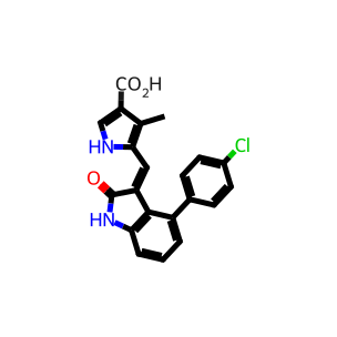 Cc1c(C(=O)O)c[nH]c1/C=C1\C(=O)Nc2cccc(-c3ccc(Cl)cc3)c21